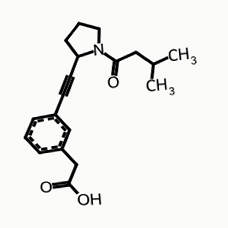 CC(C)CC(=O)N1CCCC1C#Cc1cccc(CC(=O)O)c1